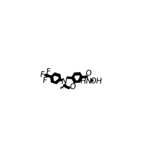 C[C@@H]1COc2cc(C(=O)NO)ccc2CN1c1ccc(C(F)(F)F)cc1